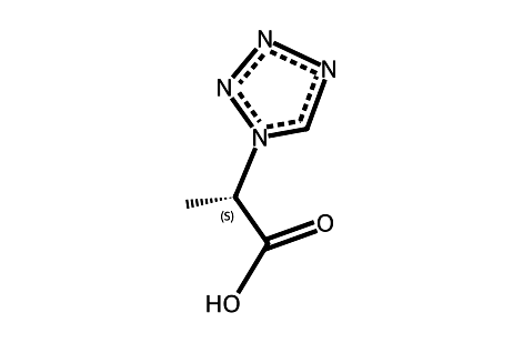 C[C@@H](C(=O)O)n1cnnn1